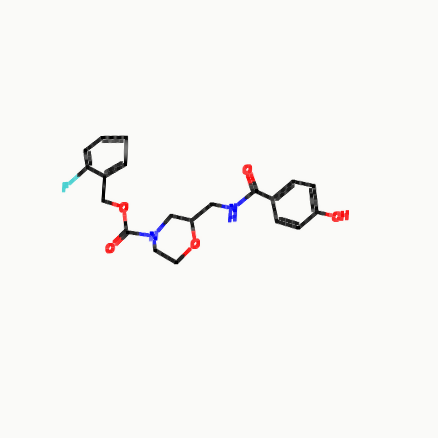 O=C(NCC1CN(C(=O)OCc2ccccc2F)CCO1)c1ccc(O)cc1